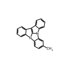 Cc1ccc2c(c1)n1c3ccccc3c3c4ccccc4n2c31